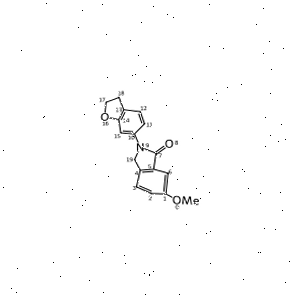 COc1ccc2c(c1)C(=O)N(c1ccc3c(c1)OCC3)C2